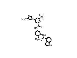 Cc1cn(-c2cc(C(=O)Nc3ccc(C)c(NC(=O)c4ccnc5[nH]ccc45)c3)cc(C(F)(F)F)c2)cn1